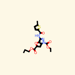 CCCOC(=O)c1cc2c(o1)c(NC(=O)c1ccc(C)s1)nn2C(=O)OCC